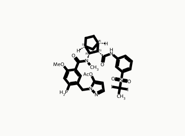 COc1cc(P)c(Cn2nccc2OC(C)=O)cc1C(=O)N(C)[C@@H]1[C@H]2CC[C@H](C2)[C@@H]1C(=O)Nc1cccc(S(=O)(=O)C(C)(I)I)c1